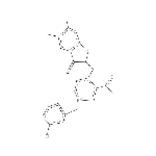 CC(=O)c1c[n+](Cc2cccc(Cl)c2)ccc1CC1Cc2cc(C)c(C)cc2C1=O